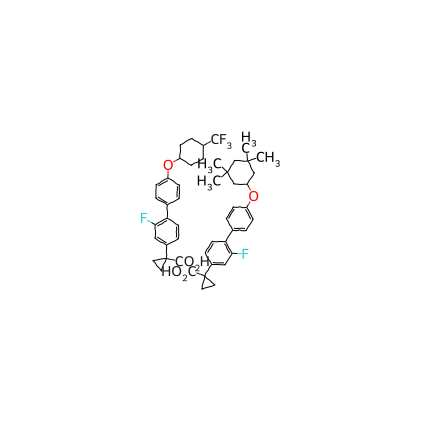 CC1(C)CC(Oc2ccc(-c3ccc(C4(C(=O)O)CC4)cc3F)cc2)CC(C)(C)C1.O=C(O)C1(c2ccc(-c3ccc(OC4CCC(C(F)(F)F)CC4)cc3)c(F)c2)CC1